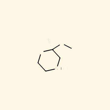 CO[C@@]1(C)CNCCO1.Cl